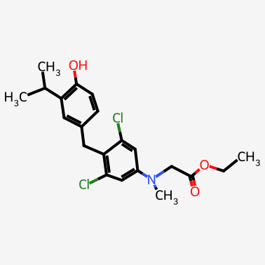 CCOC(=O)CN(C)c1cc(Cl)c(Cc2ccc(O)c(C(C)C)c2)c(Cl)c1